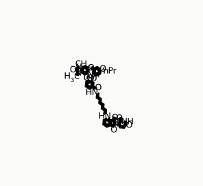 CCCOc1cccc(Oc2cc3c(cc2NS(=O)(=O)c2cccc(C(=O)NCCCCCCCCNc4cccc5c4C(=O)N(C4CCC(=O)NC4=O)C5=O)c2)n(C)c(=O)n3C)c1